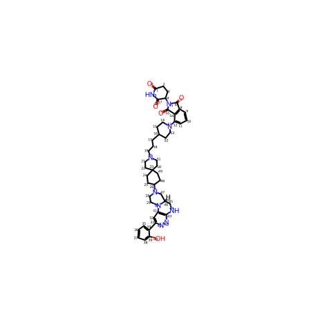 O=C1CCC(N2C(=O)c3cccc(N4CCC(CCCN5CCC6(CCC(N7CCN8c9cc(-c%10ccccc%10O)nnc9NC[C@H]8C7)CC6)CC5)CC4)c3C2=O)C(=O)N1